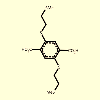 CSCCSc1cc(C(=O)O)c(SCCSC)cc1C(=O)O